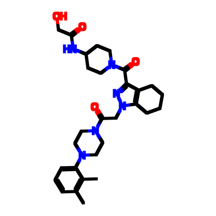 Cc1cccc(N2CCN(C(=O)Cn3nc(C(=O)N4CCC(NC(=O)CO)CC4)c4c3CCCC4)CC2)c1C